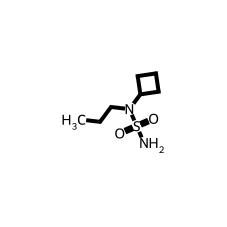 CCCN(C1CCC1)S(N)(=O)=O